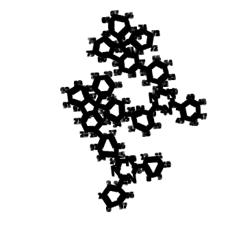 c1ccc(-c2nc(-c3ccccc3)nc(-c3ccc(-c4ccc5c(c4)C(c4ccccc4)(c4ccc(-c6cccc(-c7nc(-c8ccccc8)nc(-c8cccc(-c9ccc%10c(c9)C(c9ccccc9)(c9ccccc9)c9ccccc9-%10)c8)n7)c6)cc4)c4ccccc4-5)cc3)n2)cc1